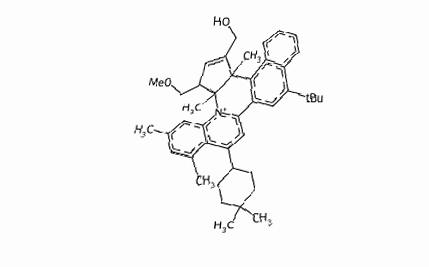 COCC1C=C(CO)C2(C)c3c(cc(C(C)(C)C)c4ccccc34)-c3cc(C4CCC(C)(C)CC4)c4c(C)cc(C)cc4[n+]3C12C